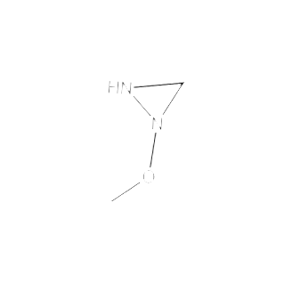 CON1CN1